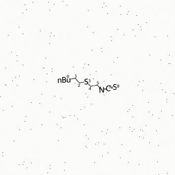 CCCCCCSCCN=C=S